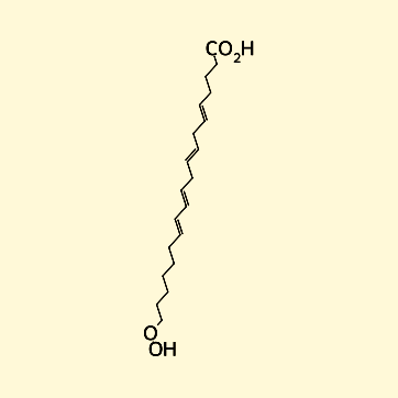 O=C(O)CCCC=CCC=CCC=CC=CCCCCCCOO